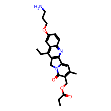 CCC(=O)OCc1c(C)cc2n(c1=O)Cc1c-2nc2ccc(OCCCN)cc2c1CC